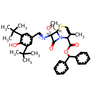 CO[C@@]1(/N=C/c2cc(C(C)(C)C)c(O)c(C(C)(C)C)c2)C(=O)N2C(C(=O)OC(c3ccccc3)c3ccccc3)C(C)=CS[C@@H]21